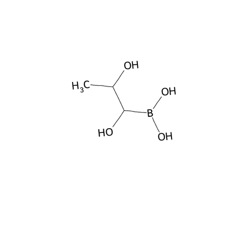 CC(O)C(O)B(O)O